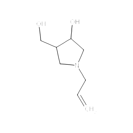 C=CCN1CC(O)C(CO)C1